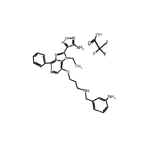 CCn1c(-c2nonc2N)nc2c(-c3ccccc3)ncc(OCCCNCc3cccc(N)c3)c21.O=C(O)C(F)(F)F